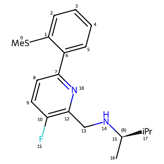 CSc1ccccc1-c1ccc(F)c(CN[C@H](C)C(C)C)n1